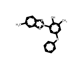 Cc1ccc2nn(-c3cc(Oc4ccccc4)cc(C)c3O)nc2c1